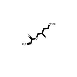 C=CC(=O)OCC(I)CCCCCCCC